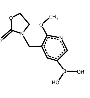 COc1ncc(B(O)O)cc1CN1CCOC1=O